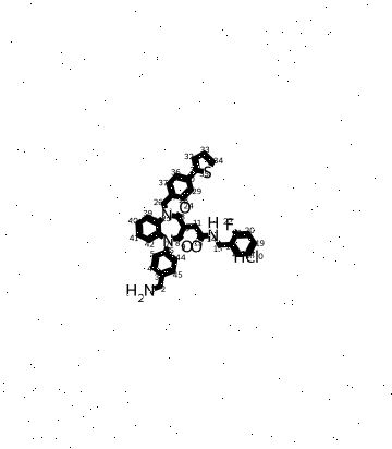 Cl.NCc1ccc(N2C(=O)C(CC(=O)NCc3ccccc3F)C(=O)N(Cc3ccc(-c4cccs4)cc3)c3ccccc32)cc1